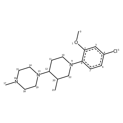 COc1cc(Cl)ccc1N1CCC(N2CCN(C)CC2)C(C)C1